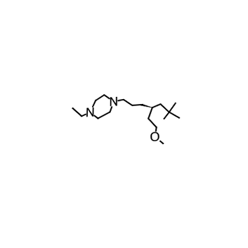 CCN1CCN(CCC[C@H](CCOC)CC(C)(C)C)CC1